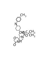 Cc1ccc(N=C2CCC(OCC3N(C(=O)OC(C)(C)C)CCC34COCC(=O)N4)CC2)cc1